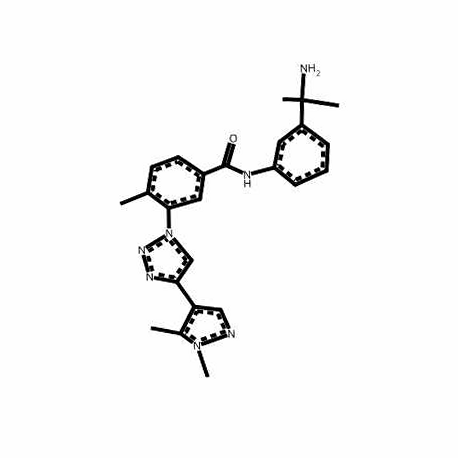 Cc1ccc(C(=O)Nc2cccc(C(C)(C)N)c2)cc1-n1cc(-c2cnn(C)c2C)nn1